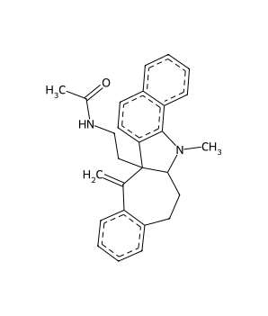 C=C1c2ccccc2CCC2N(C)c3c(ccc4ccccc34)C12CCNC(C)=O